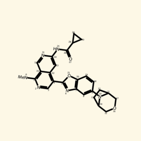 CNc1ncc(-c2nc3cc(N4C5CCC4COC5)ccc3o2)c2cc(NC(=O)C3CC3)ncc12